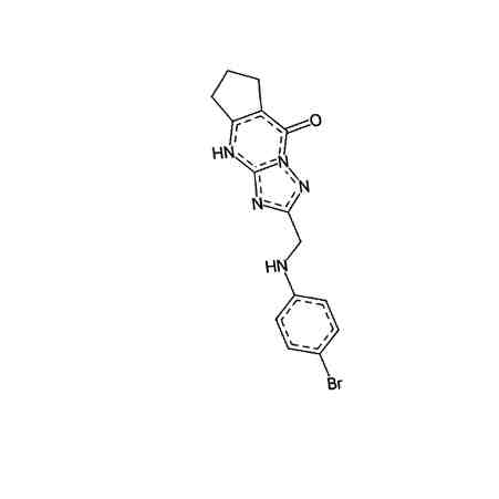 O=c1c2c([nH]c3nc(CNc4ccc(Br)cc4)nn13)CCC2